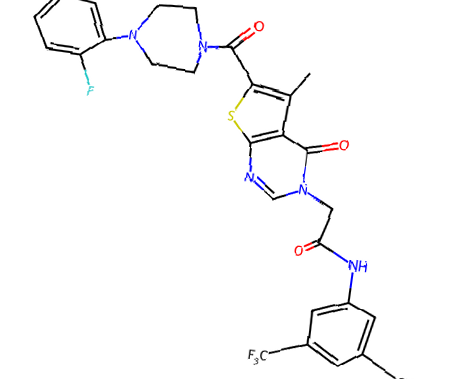 Cc1c(C(=O)N2CCN(c3ccccc3F)CC2)sc2ncn(CC(=O)Nc3cc(C(F)(F)F)cc(C(F)(F)F)c3)c(=O)c12